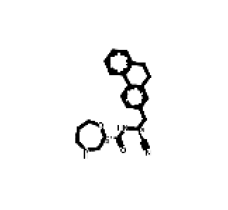 N#C[C@H](Cc1ccc2c(c1)CCc1ccccc1-2)NC(=O)[C@@H]1CNCCCO1